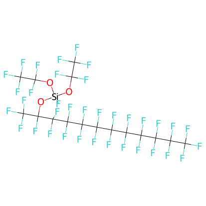 FC(F)(F)C(F)(F)O[Si](F)(OC(F)(F)C(F)(F)F)OC(F)(C(F)(F)F)C(F)(F)C(F)(F)C(F)(F)C(F)(F)C(F)(F)C(F)(F)C(F)(F)C(F)(F)C(F)(F)C(F)(F)F